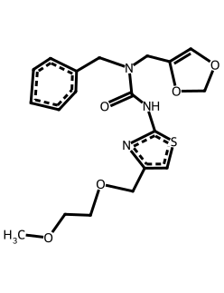 COCCOCc1csc(NC(=O)N(CC2=COCO2)Cc2ccccc2)n1